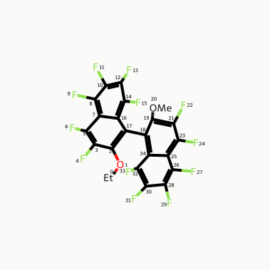 CCOc1c(F)c(F)c2c(F)c(F)c(F)c(F)c2c1-c1c(OC)c(F)c(F)c2c(F)c(F)c(F)c(F)c12